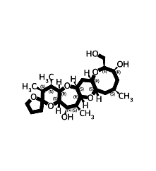 C[C@H]1C[C@@H](O)[C@H](CO)O[C@@H]2C[C@@H]3O[C@@H]4[C@@H](C)[C@H](C)C5(CCCO5)O[C@H]4[C@@H](O)[C@H](C)[C@H]3O[C@H]2C1